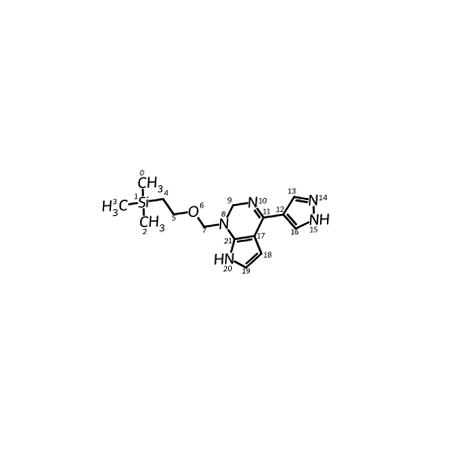 C[Si](C)(C)CCOCN1CN=C(c2cn[nH]c2)c2cc[nH]c21